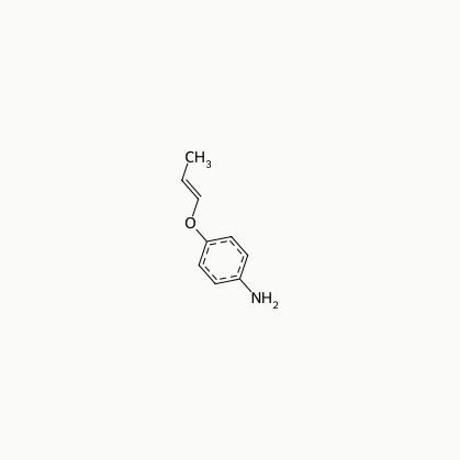 CC=COc1ccc(N)cc1